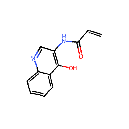 C=CC(=O)Nc1cnc2ccccc2c1O